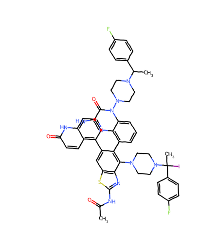 CC(=O)Nc1nc2c(N3CCN(C(C)(I)c4ccc(F)cc4)CC3)c(-c3cccc4c3nc(N)c(=O)n4N3CCN(C(C)c4ccc(F)cc4)CC3)c(-c3cccc4[nH]c(=O)ccc34)cc2s1